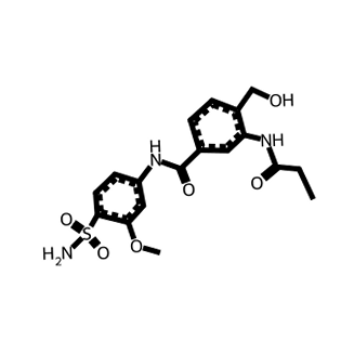 CCC(=O)Nc1cc(C(=O)Nc2ccc(S(N)(=O)=O)c(OC)c2)ccc1CO